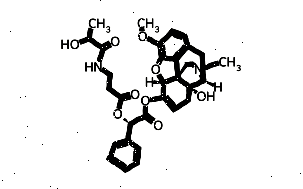 COc1ccc2c3c1O[C@H]1C(OC(=O)[C@@H](OC(=O)CCNC(=O)C(C)O)c4ccccc4)=CC[C@@]4(O)[C@@H](C2)N(C)CC[C@]314